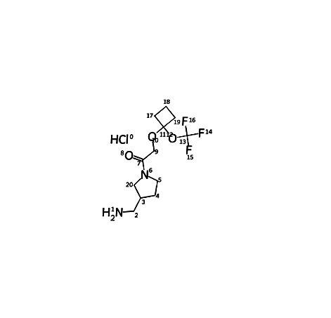 Cl.NCC1CCN(C(=O)COC2(OC(F)(F)F)CCC2)C1